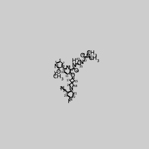 CCOc1ncccc1-c1ccc(OC2CC3(C2)CN(c2ccc(F)cc2C#N)C3)c(C(=O)NC2CN(CC(=O)N(C)C)C2)n1